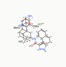 COc1cccc(OC)c1C12CC3CC(C1NC(=O)CN)C(C(=O)O)C(N(C(=O)C1=CCN=N1)C1=CC=CC4=CCCCC41)(C3)C2.Cl